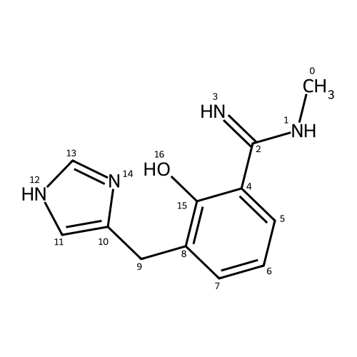 CNC(=N)c1cccc(Cc2c[nH]cn2)c1O